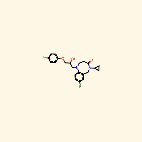 O=C1CCN(CC(O)COc2ccc(F)cc2)c2ccc(F)cc2CN1C1CC1